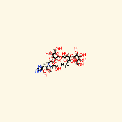 CC1OC(COC2OC(CO)C(O)C(OC3CN([C@@H](Cc4c[nH]cn4)C(=O)O)CC(CO)O3)C2O)C(O)C(OC2OC(CO)C(O)C(O)C2O)C1O